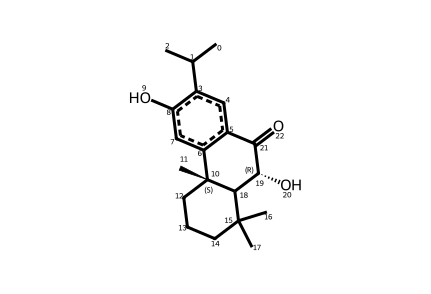 CC(C)c1cc2c(cc1O)[C@@]1(C)CCCC(C)(C)C1[C@@H](O)C2=O